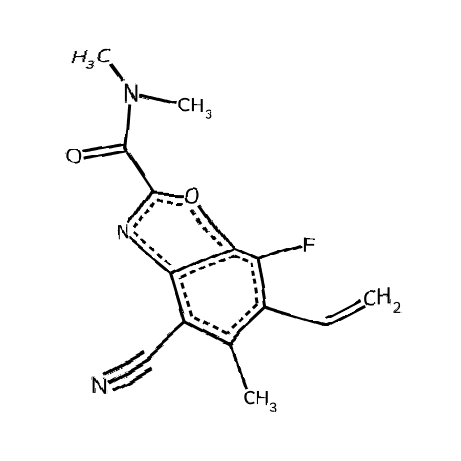 C=Cc1c(C)c(C#N)c2nc(C(=O)N(C)C)oc2c1F